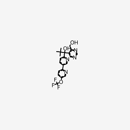 CC(C)(C)C(O)(c1ccc(-c2ccc(OC(F)(F)F)cn2)cn1)c1cncnc1CO